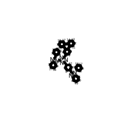 C1=CC(c2nc(-c3ccc4c5ccccc5c5ccccc5c4c3)nc(-n3c(-c4ccccc4)nc4ccccc43)n2)CC=C1c1nc2ccccc2n1-c1ccccc1